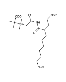 CCCCCCCCCCCCCCCCC(CCCCCCCCCCCC)C(=O)NC(CC)C[N+](C)(C)C(C)(C)C(=O)[O-]